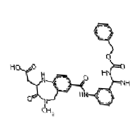 CN1Cc2cc(C(=O)Nc3cccc(C(=N)NC(=O)OCc4ccccc4)c3)ccc2NC(CC(=O)O)C1=O